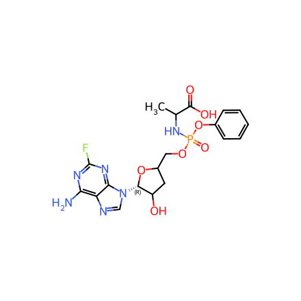 CC(NP(=O)(OCC1CC(O)[C@H](n2cnc3c(N)nc(F)nc32)O1)Oc1ccccc1)C(=O)O